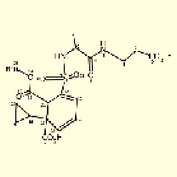 CCOC(=O)CCNC(=O)C(C)NS(=O)(=O)C1=CC=CC(C(=O)O)(C2CC2)C1C(=O)OC(C)(C)C